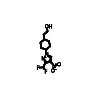 O=[N+]([O-])c1cn(C2CCC(CCO)CC2)nc1C(F)F